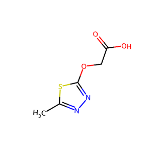 Cc1nnc(OCC(=O)O)s1